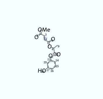 COC(=O)/C=C/C(=O)OC(C)C(=O)Oc1cccc(O)c1